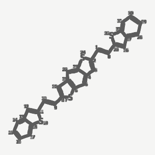 C(=C\c1cc2cc3sc(/C=C/c4cc5ccccc5s4)cc3cc2s1)/c1cc2ccccc2s1